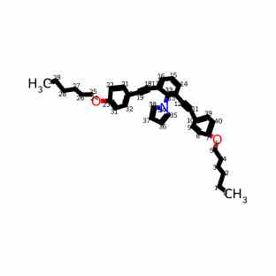 CCCCCCOc1ccc(C#Cc2cccc(C#Cc3ccc(OCCCCCC)cc3)c2-n2cccc2)cc1